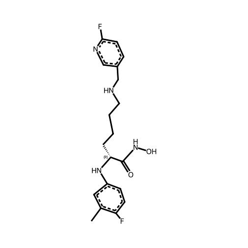 Cc1cc(N[C@H](CCCCNCc2ccc(F)nc2)C(=O)NO)ccc1F